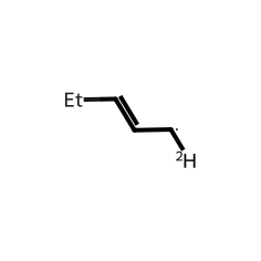 [2H][CH]C=CCC